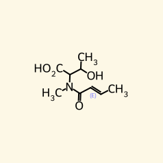 C/C=C/C(=O)N(C)C(C(=O)O)C(C)O